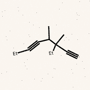 [C]#CC(C)(CC)C(C)C#CCC